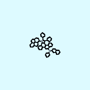 c1ccc(-c2c(-c3ccccc3)n(-c3ccc4ccc5cccc6ccc3c4c56)c3c4ccccc4c4cc(N(c5ccccc5)c5ccc6ccccc6c5)c5ccccc5c4c23)cc1